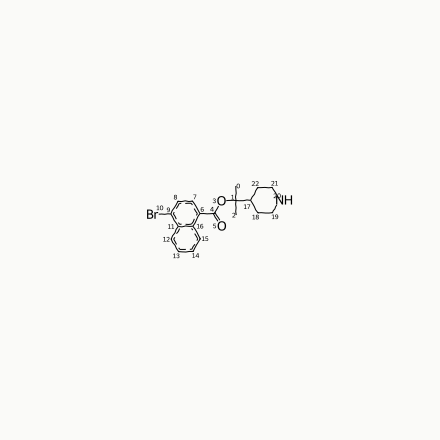 CC(C)(OC(=O)c1ccc(Br)c2ccccc12)C1CCNCC1